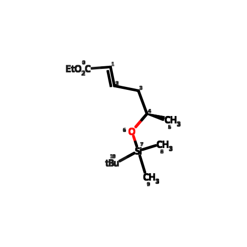 CCOC(=O)/C=C/C[C@@H](C)O[Si](C)(C)C(C)(C)C